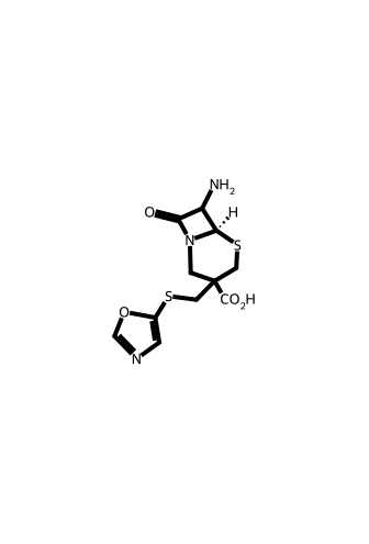 NC1C(=O)N2CC(CSc3cnco3)(C(=O)O)CS[C@H]12